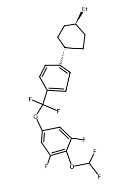 CC[C@H]1CC[C@H](c2ccc(C(F)(F)Oc3cc(F)c(OC(F)F)c(F)c3)cc2)CC1